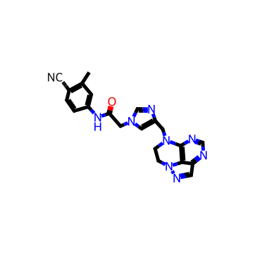 Cc1cc(NC(=O)Cn2cnc(CN3CCn4ncc5ncnc3c54)c2)ccc1C#N